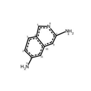 Nc1ccc2cnc(N)cc2c1